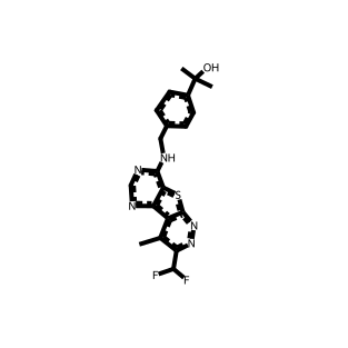 Cc1c(C(F)F)nnc2sc3c(NCc4ccc(C(C)(C)O)cc4)ncnc3c12